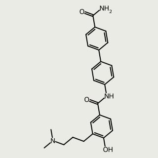 CN(C)CCCc1cc(C(=O)Nc2ccc(-c3ccc(C(N)=O)cc3)cc2)ccc1O